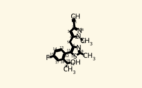 C#Cc1cc(Cc2nc(C)sc2-c2ccc(F)cc2[C@@H](C)O)n(C)n1